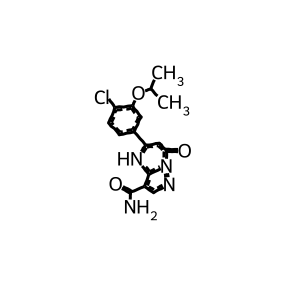 CC(C)Oc1cc(-c2cc(=O)n3ncc(C(N)=O)c3[nH]2)ccc1Cl